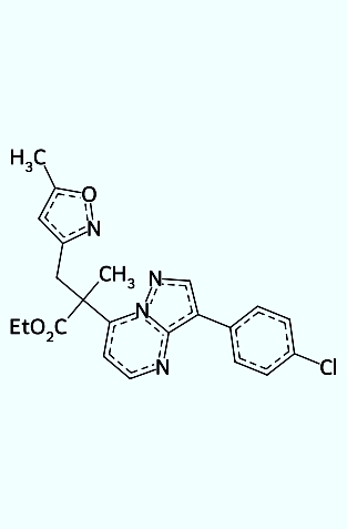 CCOC(=O)C(C)(Cc1cc(C)on1)c1ccnc2c(-c3ccc(Cl)cc3)cnn12